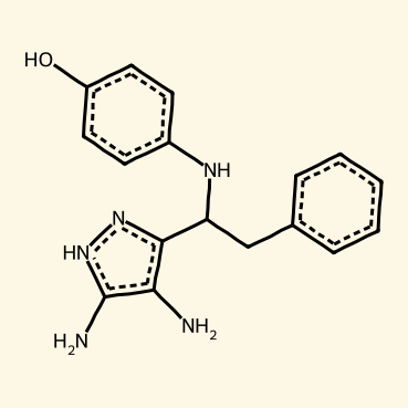 Nc1[nH]nc(C(Cc2ccccc2)Nc2ccc(O)cc2)c1N